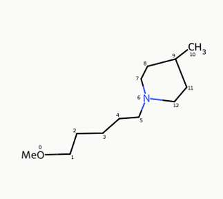 COCCCCCN1CCC(C)CC1